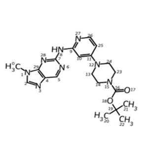 Cn1cnc2cnc(Nc3cc(N4CCN(C(=O)OC(C)(C)C)CC4)ccn3)nc21